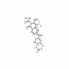 CCn1c(N)c(C(N)=O)c(=O)c2cnc(Nc3ccc4c(c3)CCN(C)C4)nc21